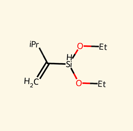 C=C(C(C)C)[SiH](OCC)OCC